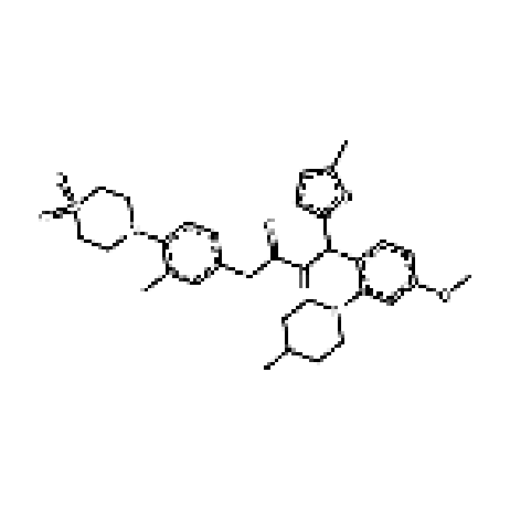 COc1ccc(C(NC(=O)Cc2ccc(N3CCS(=O)(=O)CC3)c(C)c2)c2ccc(C)o2)c(N2CCC(C)CC2)c1